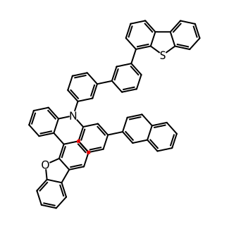 c1cc(-c2cccc(N(c3cccc(-c4ccc5ccccc5c4)c3)c3ccccc3-c3cccc4c3oc3ccccc34)c2)cc(-c2cccc3c2sc2ccccc23)c1